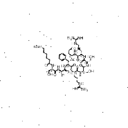 CCCCCCCCCCCCCCCC(=O)N[C@@H](C(=O)N[C@@H](C(=O)N[C@@H](Cc1ccccc1)C(=O)N[C@@H](CCCNC(=N)N)C(=O)N[C@@H](CO)C(=O)N[C@@H](CO)C(=O)N[C@@H](CCCNC(=N)N)C(=O)N[C@@H](CCC(=O)O)C(C)=O)C(C)C)[C@@H](C)O